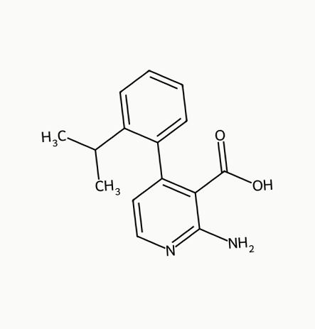 CC(C)c1ccccc1-c1ccnc(N)c1C(=O)O